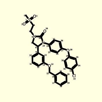 CS(=O)(=O)CCN1CC(c2cccc(OCc3ccccc3)c2)N(c2ccc(Oc3ccc(Cl)cc3)cc2)C1=O